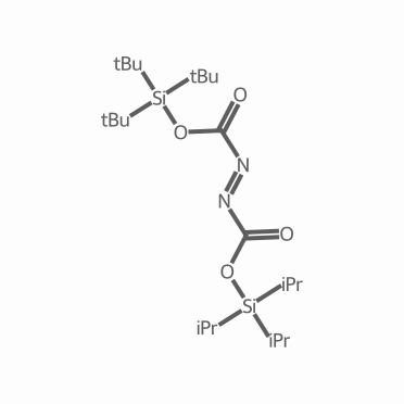 CC(C)[Si](OC(=O)N=NC(=O)O[Si](C(C)(C)C)(C(C)(C)C)C(C)(C)C)(C(C)C)C(C)C